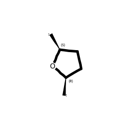 [CH][C@@H]1CC[C@H]([CH])O1